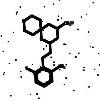 Nc1cccc(F)c1CCC1CN(C(=O)O)CC2(CCOCC2)O1